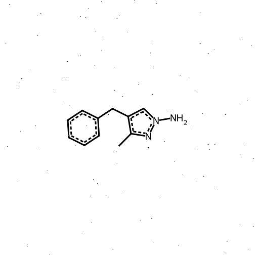 Cc1nn(N)cc1Cc1ccccc1